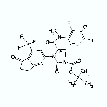 CN(C(=O)[C@@H]1CN(C(=O)OC(C)(C)C)C(=O)N1c1cc(C(F)(F)F)c2c(n1)CCC2=O)c1ccc(F)c(Cl)c1F